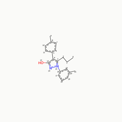 CCCc1c(-c2ccc(C)cc2)c(O)nn1-c1cccc(C)c1